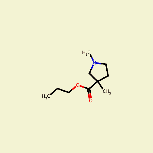 CCCOC(=O)C1(C)CCN(C)C1